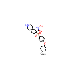 COC1CCC(Oc2ccc(S(=O)(=O)C3(C(=O)NO)CCC4(CCNCC4)C3)cc2)CC1